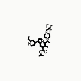 CCc1cc(-c2ccn3c(C(C)N4CCN(CC(F)(F)F)CC4)c(C)c(C(=O)OC(C)C)cc23)ccn1